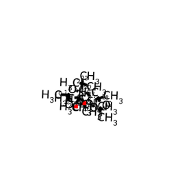 CC(=O)O[Si](C[Si](OC(C)=O)(C(C)(C)C)C(C)(C)C)(C(C)(C)C)C(C)(C)C